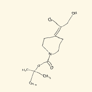 CC(C)(C)OC(=O)N1CCC(=C(Cl)CO)CC1